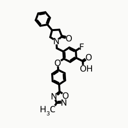 Cc1noc(-c2ccc(Oc3cc(C(=O)O)c(F)cc3CN3CC(c4ccccc4)CC3=O)cc2)n1